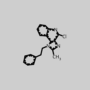 Cc1nc2c(Cl)nc3ccccc3c2n1CCc1ccccc1